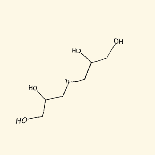 OCC(O)[CH2][Ti][CH2]C(O)CO